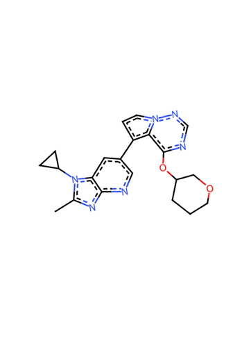 Cc1nc2ncc(-c3ccn4ncnc(OC5CCCOC5)c34)cc2n1C1CC1